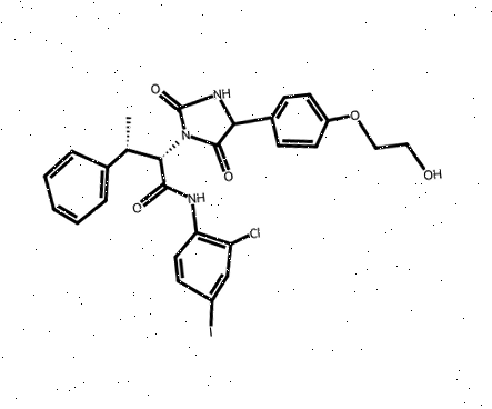 C[C@@H](c1ccccc1)[C@@H](C(=O)Nc1ccc(I)cc1Cl)N1C(=O)NC(c2ccc(OCCO)cc2)C1=O